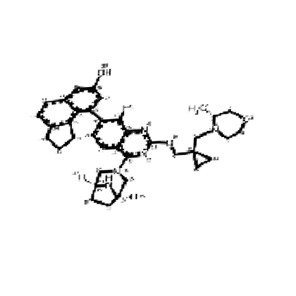 C[C@@H]1COCCN1CC1(COc2nc(N3C[C@H]4CC[C@@H](C3)N4)c3ccc(-c4cc(O)cc5ccc6c(c45)CCC6)c(F)c3n2)CC1